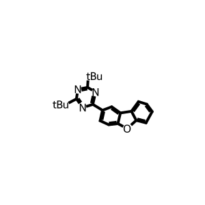 CC(C)(C)c1nc(-c2ccc3oc4ccccc4c3c2)nc(C(C)(C)C)n1